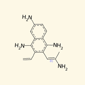 C=Cc1c(/C=C(\C)N)c(N)c2ccc(N)cc2c1N